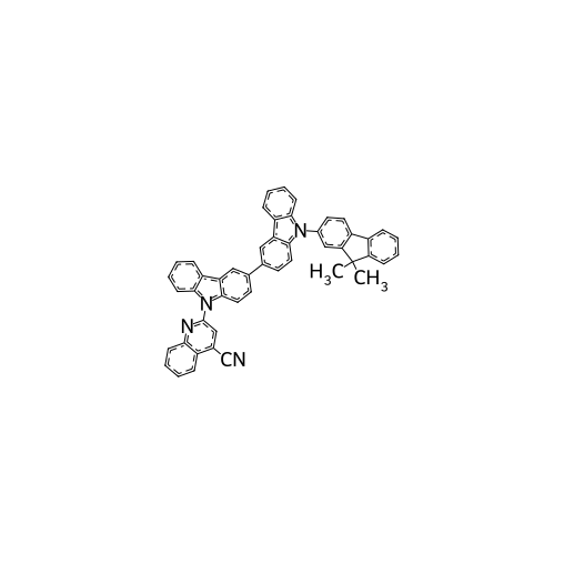 CC1(C)c2ccccc2-c2ccc(-n3c4ccccc4c4cc(-c5ccc6c(c5)c5ccccc5n6-c5cc(C#N)c6ccccc6n5)ccc43)cc21